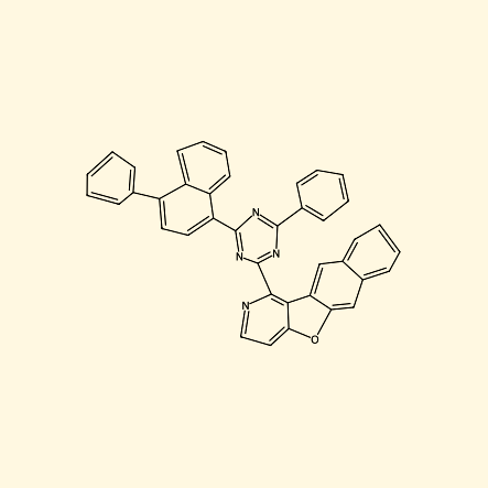 c1ccc(-c2nc(-c3ccc(-c4ccccc4)c4ccccc34)nc(-c3nccc4oc5cc6ccccc6cc5c34)n2)cc1